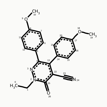 CCn1nc(-c2ccc(OC)cc2)c(-c2ccc(OC)cc2)c(C#N)c1=O